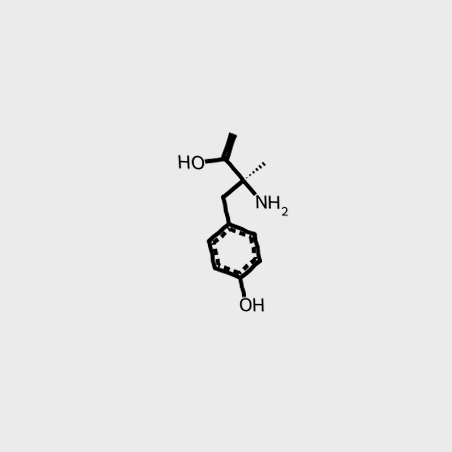 C=C(O)[C@@](C)(N)Cc1ccc(O)cc1